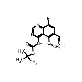 C=Cc1cc(Br)c2ncnc(NC(=O)OC(C)(C)C)c2c1OC